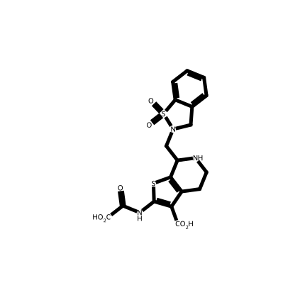 O=C(O)C(=O)Nc1sc2c(c1C(=O)O)CCNC2CN1Cc2ccccc2S1(=O)=O